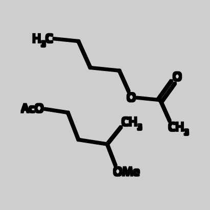 CCCCOC(C)=O.COC(C)CCOC(C)=O